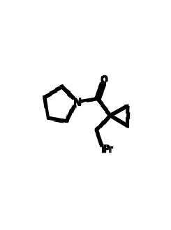 CC(C)CC1(C(=O)N2CCCC2)CC1